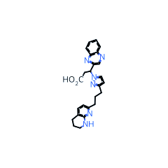 O=C(O)CC(c1cnc2ccccc2n1)n1ccc(CCCc2ccc3c(n2)NCCC3)n1